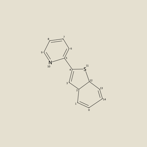 C1=CC2C=C(c3ccccn3)SC2C=C1